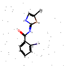 CCC1=C[N]C(=NC(=O)c2ccccc2I)S1